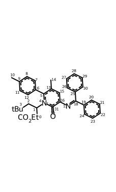 CCOC(=O)C(CC(C)(C)C)n1c(-c2ccc(C)cc2)c(C)cc(N=C(c2ccccc2)c2ccccc2)c1=O